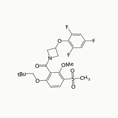 COc1c(S(C)(=O)=O)ccc(OCC(C)(C)C)c1C(=O)N1CC(Oc2c(F)cc(F)cc2F)C1